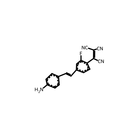 N#CC(C#N)=C(C#N)c1ccc(/C=C/c2ccc(N)cc2)cc1F